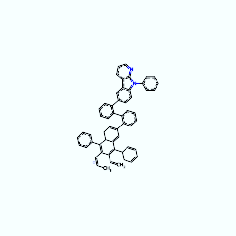 C=CC1=C(C2C=CC=CC2)C2=CC(c3ccccc3-c3ccccc3-c3ccc4c(c3)c3cccnc3n4-c3ccccc3)=CCC2C(c2ccccc2)=C1/C=C\C